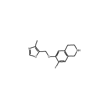 Cc1ncoc1COc1cc2c(cc1F)CNCC2